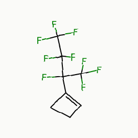 FC(F)(F)C(F)(F)C(F)(C1=CCC1)C(F)(F)F